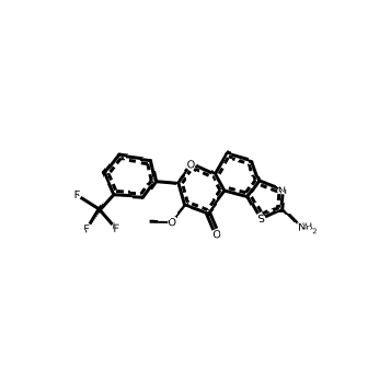 COc1c(-c2cccc(C(F)(F)F)c2)oc2ccc3nc(N)sc3c2c1=O